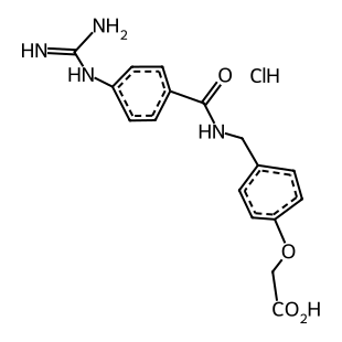 Cl.N=C(N)Nc1ccc(C(=O)NCc2ccc(OCC(=O)O)cc2)cc1